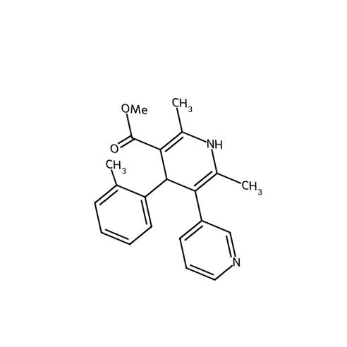 COC(=O)C1=C(C)NC(C)=C(c2cccnc2)C1c1ccccc1C